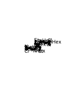 CCCCCCc1cc(-c2cc3c(-c4ccc(CC(CC)CCCC)s4)c4sc(-c5cc(CCCCCC)c(-c6ccc(-c7sc(-c8cc(Cl)c(CCCCCC)c9snnc89)cc7CCCCCC)s6)s5)cc4c(-c4ccc(CC(CC)CCCC)s4)c3s2)sc1-c1ccc(-c2sc(-c3cc(Cl)c(C)c4snnc34)cc2CCCCCC)s1